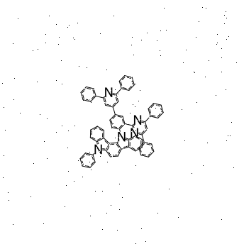 c1ccc(-c2cc(-c3ccc(-n4c5ccccc5c5ccc6c(c7ccccc7n6-c6ccccc6)c54)c(-c4nc(-c5ccccc5)cc(-c5ccccc5)n4)c3)cc(-c3ccccc3)n2)cc1